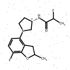 CC1Cc2c(N3CC[C@H](NC(=O)C(C)F)C3)ccc(F)c2O1